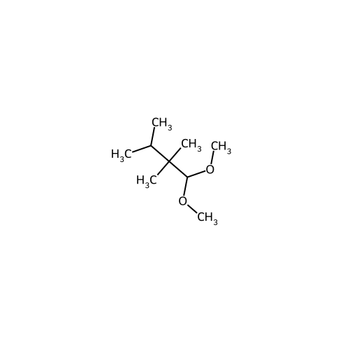 COC(OC)C(C)(C)C(C)C